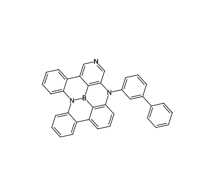 c1ccc(-c2cccc(N3c4cccc5c4B4c6c(cncc63)-c3ccccc3N4c3ccccc3-5)c2)cc1